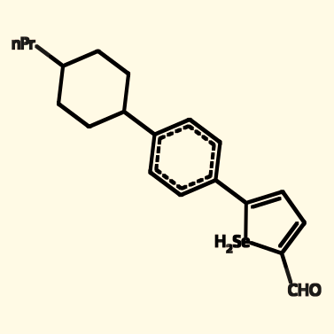 CCCC1CCC(c2ccc(C3=CC=C(C=O)[SeH2]3)cc2)CC1